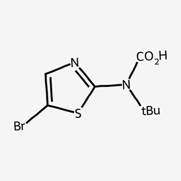 CC(C)(C)N(C(=O)O)c1ncc(Br)s1